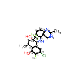 Cc1ncc2c(NC3c4cc(Cl)c(F)c(O)c4C(C)C[C@]3(O)C(F)(F)F)cccc2n1